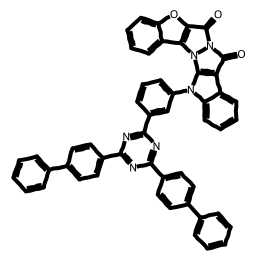 O=c1c2oc3ccccc3c2n2c3c(c(=O)n12)c1ccccc1n3-c1cccc(-c2nc(-c3ccc(-c4ccccc4)cc3)nc(-c3ccc(-c4ccccc4)cc3)n2)c1